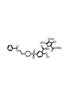 CCCc1c(C=O)c(CC)c(C(=O)OC)n1NC(=O)c1cc(S(=O)(=O)N2CCN(CCOC(=O)c3ccccc3)CC2)ccc1OCC